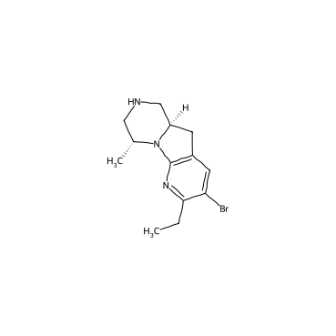 CCc1nc2c(cc1Br)C[C@@H]1CNC[C@@H](C)N21